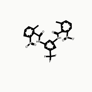 Cc1cccc([N+](=O)[O-])c1C(=O)Nc1cc(NC(=O)c2c(C)cccc2[N+](=O)[O-])cc(C(F)(F)F)c1